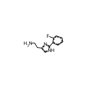 NCCc1c[nH]c(-c2ccccc2F)n1